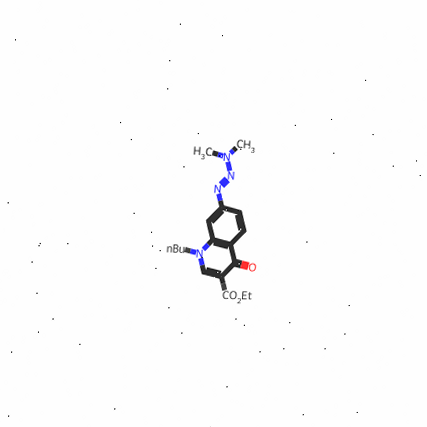 CCCCn1cc(C(=O)OCC)c(=O)c2ccc(/N=N/N(C)C)cc21